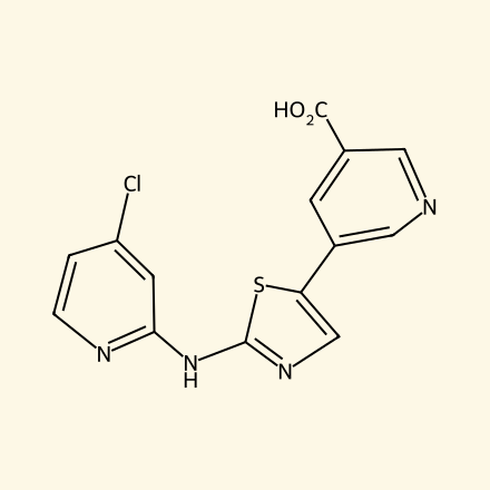 O=C(O)c1cncc(-c2cnc(Nc3cc(Cl)ccn3)s2)c1